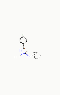 Cn1nc(-c2ccc(Cl)cc2)s/c1=N\C1CC2CCC1C2